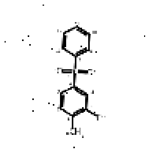 Cc1ccc(S(=O)(=O)c2ccccc2)cc1F